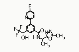 Cc1nnc([C@@H](C)NC(=O)c2cc(-c3ccc(F)cn3)cc(C(O)C(F)(F)F)c2)o1